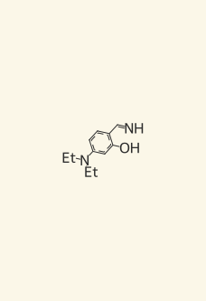 CCN(CC)c1ccc(C=N)c(O)c1